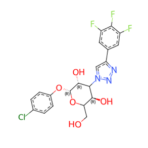 OCC1O[C@H](Oc2ccc(Cl)cc2)[C@H](O)C(n2cc(-c3cc(F)c(F)c(F)c3)nn2)[C@H]1O